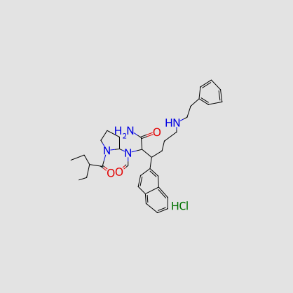 CCC(CC)C(=O)N1CCCC1N(C=O)C(C(N)=O)C(CCCNCCc1ccccc1)c1ccc2ccccc2c1.Cl